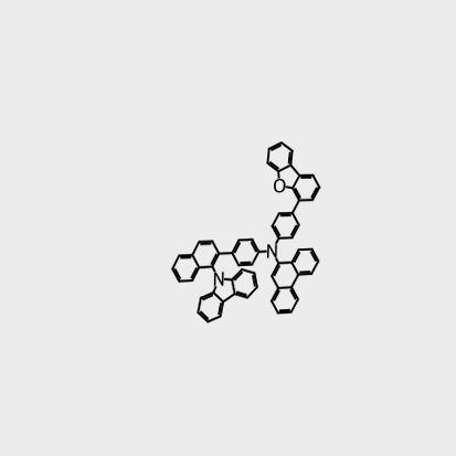 c1ccc2c(-n3c4ccccc4c4ccccc43)c(-c3ccc(N(c4ccc(-c5cccc6c5oc5ccccc56)cc4)c4cc5ccccc5c5ccccc45)cc3)ccc2c1